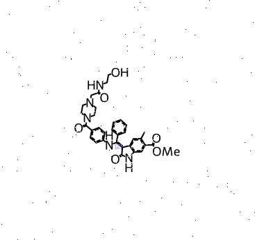 COC(=O)c1cc2c(cc1C)/C(=C(/Nc1ccc(C(=O)N3CCN(CC(=O)NCCO)CC3)cc1)c1ccccc1)C(=O)N2